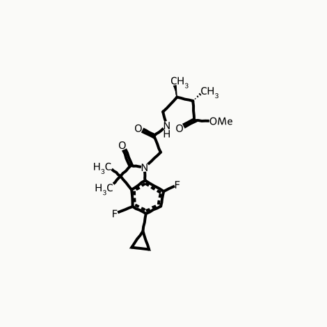 COC(=O)[C@@H](C)[C@H](C)CNC(=O)CN1C(=O)C(C)(C)c2c(F)c(C3CC3)cc(F)c21